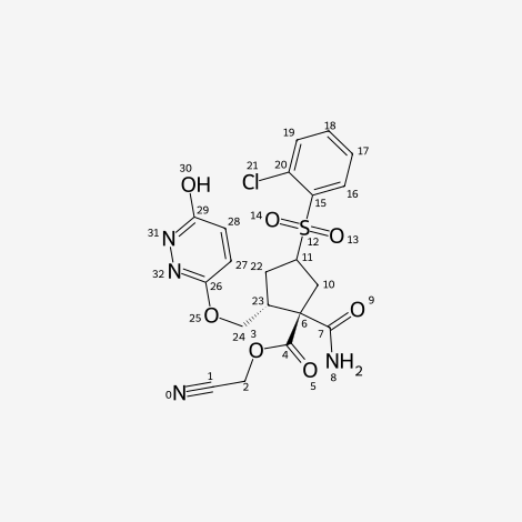 N#CCOC(=O)[C@]1(C(N)=O)CC(S(=O)(=O)c2ccccc2Cl)C[C@H]1COc1ccc(O)nn1